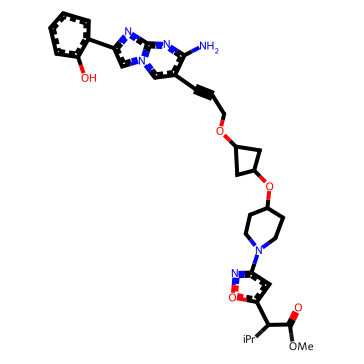 COC(=O)C(c1cc(N2CCC(OC3CC(OCC#Cc4cn5cc(-c6ccccc6O)nc5nc4N)C3)CC2)no1)C(C)C